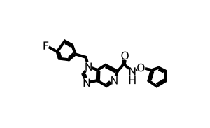 O=C(NOc1ccccc1)c1cc2c(cn1)ncn2Cc1ccc(F)cc1